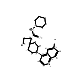 O=C(NN1CCCCC1)[C@H]1CC[C@]12CC[C@H](c1ccnc3ccc(F)cc31)CC2